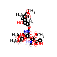 CC[C@@H]1CC(C(=O)NCCO[C@@H]2CC[C@@]3(C)C(C2)C[C@@H](O)C2C3C[C@H](O)[C@@]3(C)C2CC[C@@H]3[C@H](C)CCC(=O)OC)C[C@@H](O[C@@H]2O[C@@H](COC(C)=O)[C@H](O)C(O[C@@H](CC3CCCCC3)C(=O)O)C2NC(C)=O)C1OC1O[C@@H](C)C(OC(C)=O)[C@H](OC(C)=O)[C@@H]1OC(C)=O